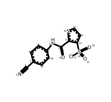 N#Cc1ccc(NC(=O)c2sccc2S(=O)(=O)Cl)cc1